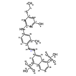 CCSc1nc(O)nc(Nc2ccc(/N=N/c3cc(S(=O)(=O)O)c4cccc(S(=O)(=O)O)c4c3)c(C)c2)n1